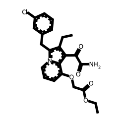 CCOC(=O)COc1cccn2c(Cc3cccc(Cl)c3)c(CC)c(C(=O)C(N)=O)c12